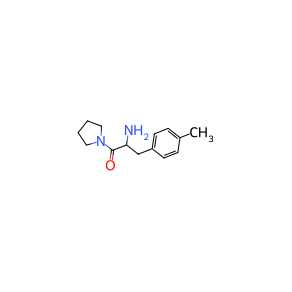 Cc1ccc(CC(N)C(=O)N2CCCC2)cc1